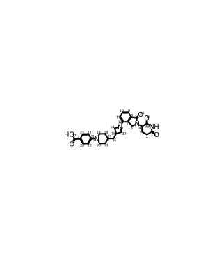 O=C1CCC(N2Cc3c(cccc3N3CC(CC4CCN(c5ccc(C(=O)O)cc5)CC4)C3)C2=O)C(=O)N1